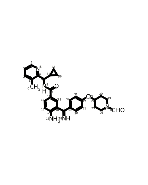 Cc1cccnc1C(NC(=O)c1ccc(N)c(C(=N)c2ccc(OC3CCN(C=O)CC3)cc2)c1)C1CC1